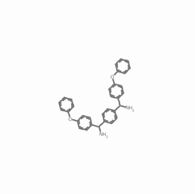 NC(c1ccc(Oc2ccccc2)cc1)c1ccc(C(N)c2ccc(Oc3ccccc3)cc2)cc1